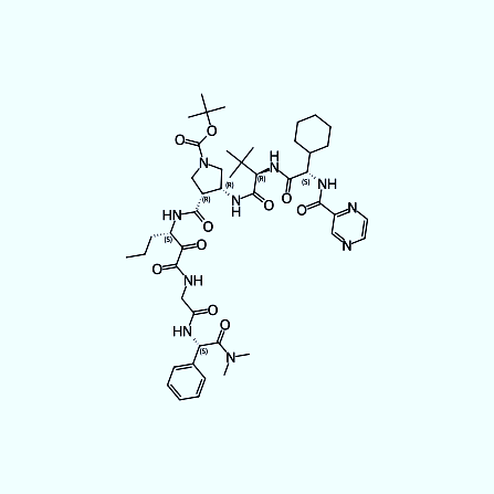 CCC[C@H](NC(=O)[C@@H]1CN(C(=O)OC(C)(C)C)C[C@@H]1NC(=O)[C@H](NC(=O)[C@@H](NC(=O)c1cnccn1)C1CCCCC1)C(C)(C)C)C(=O)C(=O)NCC(=O)N[C@H](C(=O)N(C)C)c1ccccc1